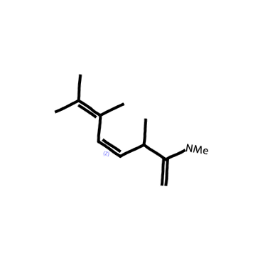 C=C(NC)C(C)/C=C\C(C)=C(C)C